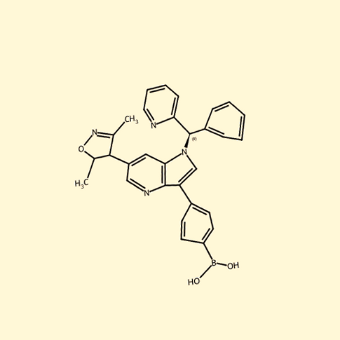 CC1=NOC(C)C1c1cnc2c(-c3ccc(B(O)O)cc3)cn([C@H](c3ccccc3)c3ccccn3)c2c1